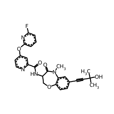 CN1C(=O)C(NC(=O)c2cc(Oc3cccc(F)n3)ccn2)COc2ccc(C#CC(C)(C)O)cc21